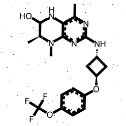 Cc1nc(N[C@H]2C[C@H](Oc3ccc(OC(F)(F)F)cc3)C2)nc2c1NC(O)[C@H](C)N2C